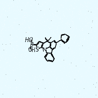 CC1(C)c2cc(B(O)O)sc2-n2c3ccccc3c3cc(-c4ccccc4)cc1c32